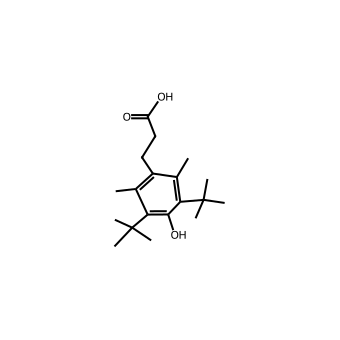 Cc1c(CCC(=O)O)c(C)c(C(C)(C)C)c(O)c1C(C)(C)C